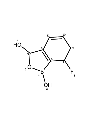 OB1OC(O)C2=C1C(F)CC=C2